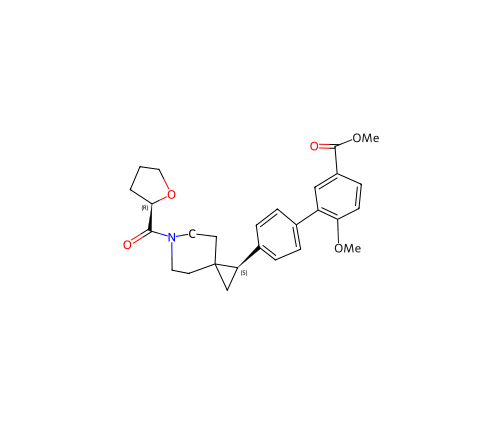 COC(=O)c1ccc(OC)c(-c2ccc([C@H]3CC34CCN(C(=O)[C@H]3CCCO3)CC4)cc2)c1